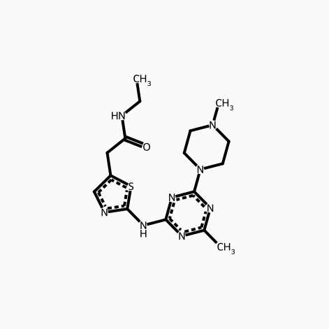 CCNC(=O)Cc1cnc(Nc2nc(C)nc(N3CCN(C)CC3)n2)s1